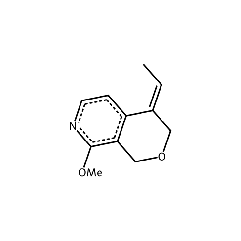 C/C=C1/COCc2c1ccnc2OC